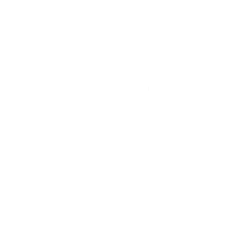 CCCC#CCCl